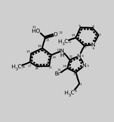 CCc1nn(-c2ncccc2C)c(Nc2ccc(C)cc2C(=O)O)c1Br